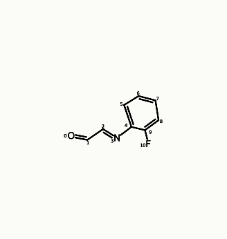 O=CC=Nc1ccccc1F